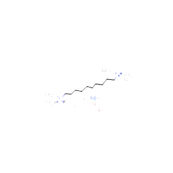 C[N+](C)(C)CCCCCCCCCC[N+](C)(C)C.Cl.N.[Br-].[Br-]